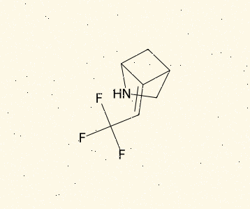 FC(F)(F)/C=C1/C2CNC1C2